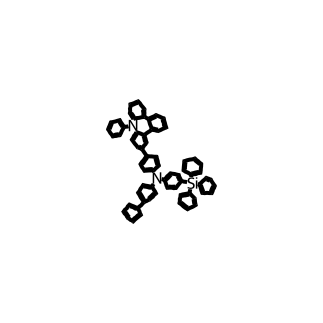 c1ccc(-c2ccc(N(c3ccc(-c4ccc5c(c4)-c4ccccc4-c4ccccc4N5c4ccccc4)cc3)c3ccc([Si](c4ccccc4)(c4ccccc4)c4ccccc4)cc3)cc2)cc1